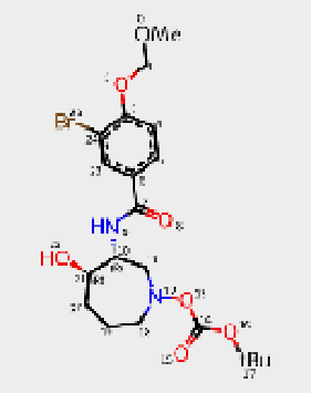 COCOc1ccc(C(=O)N[C@@H]2CN(OC(=O)OC(C)(C)C)CCC[C@H]2O)cc1Br